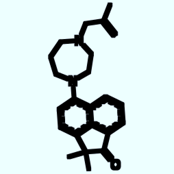 C=C(C)CN1CCCN(c2ccc3c4c(cccc24)C(=O)C3(C)C)CC1